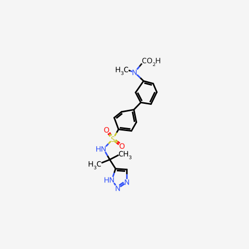 CN(C(=O)O)c1cccc(-c2ccc(S(=O)(=O)NC(C)(C)c3cnn[nH]3)cc2)c1